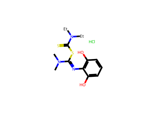 CCN(CC)C(=S)SC(=Nc1c(O)cccc1O)N(C)C.Cl